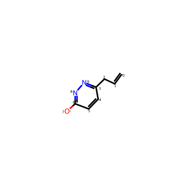 C=CCc1ccc([O])nn1